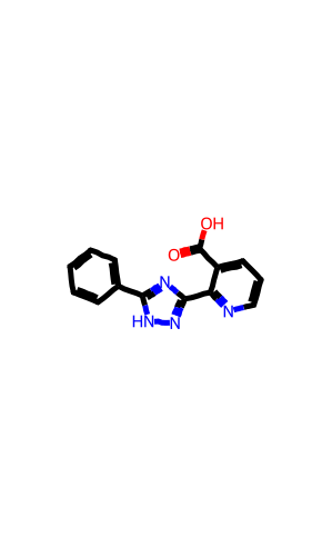 O=C(O)c1cccnc1-c1n[nH]c(-c2ccccc2)n1